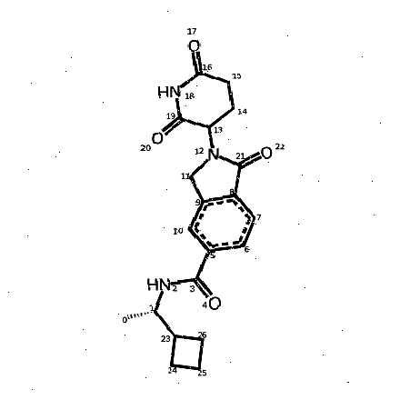 C[C@H](NC(=O)c1ccc2c(c1)CN(C1CCC(=O)NC1=O)C2=O)C1CCC1